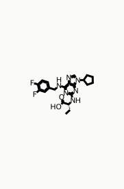 CC[C@@H](Nc1nc(NCc2ccc(F)c(F)c2)c2ncn(C3CCCC3)c2n1)C(=O)O